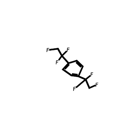 FCC(F)(F)c1ccc(C(F)(F)CF)cc1